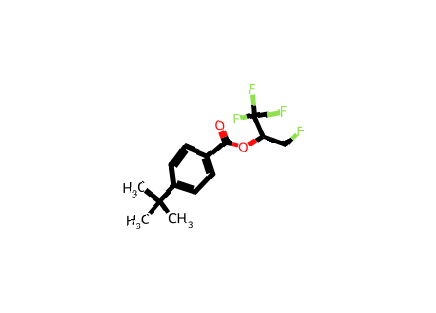 CC(C)(C)c1ccc(C(=O)OC(CF)C(F)(F)F)cc1